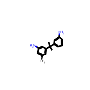 CC(C)(c1cccc(N)c1)c1cc(N)cc(C(F)(F)F)c1